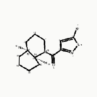 O=C(c1cc(Br)sn1)N1CCC[C@@H]2CCCC[C@@H]21